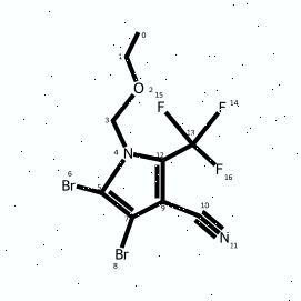 CCOCn1c(Br)c(Br)c(C#N)c1C(F)(F)F